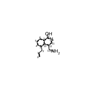 C=CCc1cccc2c(O)ncc(CN)c12